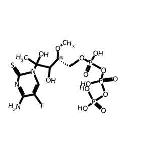 CO[C@H](COP(=O)(O)OP(=O)(O)OP(=O)(O)O)C(O)C(C)(O)n1cc(F)c(N)nc1=S